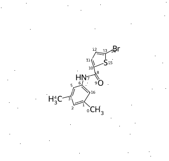 Cc1cc(C)cc(NC(=O)c2ccc(Br)s2)c1